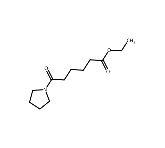 CCOC(=O)CCCCC(=O)N1CCCC1